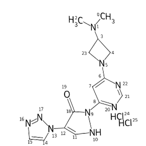 CN(C)C1CN(c2cc(-n3[nH]cc(-n4ccnn4)c3=O)ncn2)C1.Cl.Cl